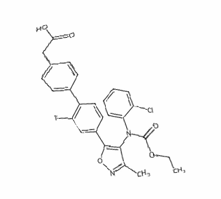 CCOC(=O)N(c1ccccc1Cl)c1c(C)noc1-c1ccc(-c2ccc(CC(=O)O)cc2)c(F)c1